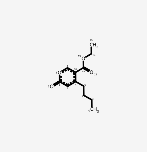 CCCCc1cc(=O)occ1C(=O)OCC